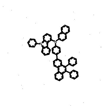 c1ccc(-c2c(-c3ccccc3)c3cc(-c4ccc(N(c5ccc6ccccc6c5)c5cccc6c5c5ccccc5n6-c5ccccc5)cc4)ccc3c3ccccc23)cc1